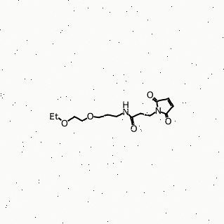 CCOCCOCCCNC(=O)CCN1C(=O)C=CC1=O